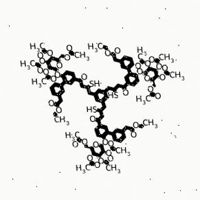 CCOC(=O)Cc1cccc(-c2cc(C(=O)CC(S)Cc3cc(CC(S)CC(=O)c4ccc(O[C@@H]5O[C@H](COC(C)=O)[C@@H](OC(C)=O)[C@H](OC(C)=O)[C@@H]5OC(C)=O)c(-c5cccc(CC(=O)OCC)c5)c4)cc(CC(S)CC(=O)c4ccc(O[C@@H]5O[C@H](COC(C)=O)[C@@H](OC(C)=O)[C@H](OC(C)=O)[C@@H]5OC(C)=O)c(-c5cccc(CC(=O)OCC)c5)c4)c3)ccc2O[C@@H]2O[C@H](COC(C)=O)[C@@H](OC(C)=O)[C@H](OC(C)=O)[C@@H]2OC(C)=O)c1